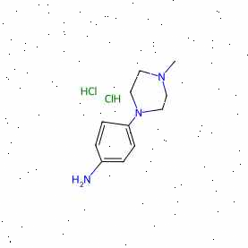 CN1CCN(c2ccc(N)cc2)CC1.Cl.Cl